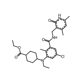 CCOC(=O)C1CCC(N(CC)c2cc(Cl)cc(C(=O)NCc3c(C)cc(C)[nH]c3=O)c2C)CC1